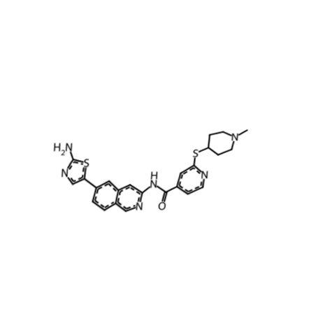 CN1CCC(Sc2cc(C(=O)Nc3cc4cc(-c5cnc(N)s5)ccc4cn3)ccn2)CC1